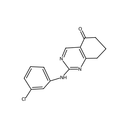 O=C1CCCc2nc(Nc3cccc(Cl)c3)ncc21